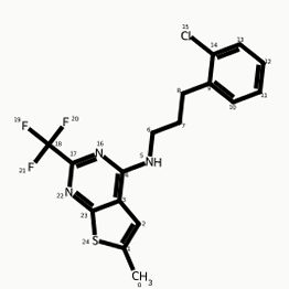 Cc1cc2c(NCCCc3ccccc3Cl)nc(C(F)(F)F)nc2s1